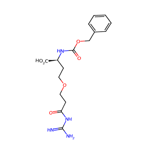 N=C(N)NC(=O)CCOCC[C@H](NC(=O)OCc1ccccc1)C(=O)O